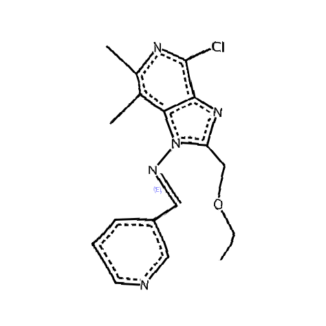 CCOCc1nc2c(Cl)nc(C)c(C)c2n1/N=C/c1cccnc1